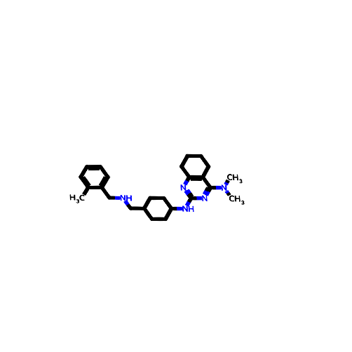 Cc1ccccc1CNCC1CCC(Nc2nc3c(c(N(C)C)n2)CCCC3)CC1